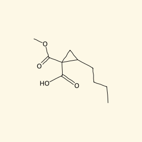 CCCCC1CC1(C(=O)O)C(=O)OC